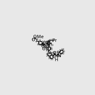 COC(=O)CCc1ccc(S(=O)(=O)NC(=O)c2nc(N3CCc4cccc(C(=O)Nc5nc6ccccc6s5)c4C3)ccc2-c2cnn(CC(C)C)c2C)cc1